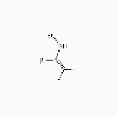 CCNC(F)=C(C)C